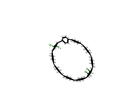 Fc1cc2c(F)cc1-c1ccc(cc1)-c1ccc(cc1)-c1ccc(cc1)-c1ccc(cc1)-c1ccc(c(F)c1F)-c1ccc(cc1)-c1ccc(cc1)-c1ccc(cc1)-c1ccc-2cc1